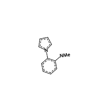 CNc1ccccc1-n1cccc1